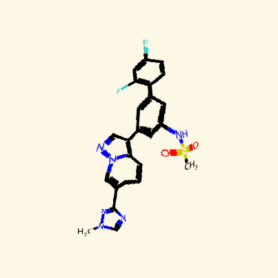 Cn1cnc(-c2ccc3c(-c4cc(NS(C)(=O)=O)cc(-c5ccc(F)cc5F)c4)cnn3c2)n1